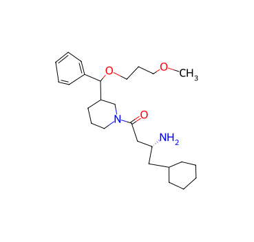 COCCCOC(c1ccccc1)C1CCCN(C(=O)C[C@H](N)CC2CCCCC2)C1